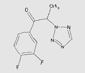 CC(C(=O)c1ccc(F)c(F)c1)n1ncnn1